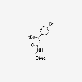 COCNC(=O)CC(c1ccc(Br)cc1)C(C)(C)C